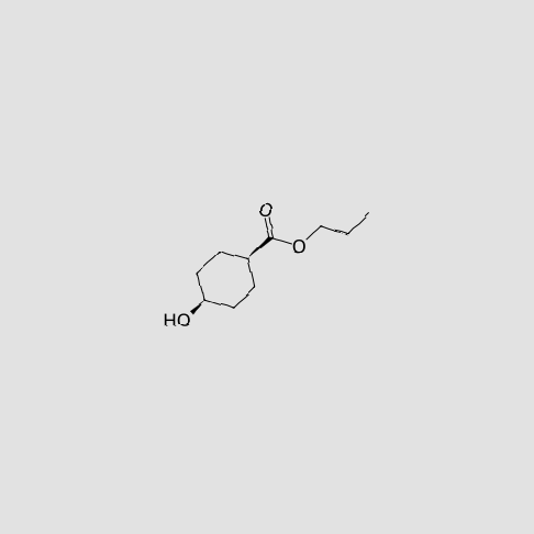 CCCOC(=O)[C@H]1CC[C@@H](O)CC1